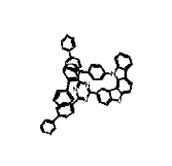 c1ccc(-c2ccc(-c3nc(-c4ccc(-c5ccccc5)cc4)nc(-c4ccc5oc6ccc7c8ccccc8n(-c8ccc(-c9cccc(-c%10ccccc%10)c9)cc8)c7c6c5c4)n3)cc2)cc1